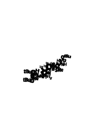 CSc1sc(C(=N)NC(=O)OC(C)(C)C)cc1S(=O)(=O)c1cccc(-c2c(C)cc(N/C(=N/C(=O)OC(C)(C)C)NC(=O)OC(C)(C)C)cc2N)c1